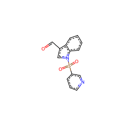 O=Cc1cn(S(=O)(=O)c2cccnc2)c2ccccc12